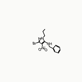 CCCn1nc(Br)c([N+](=O)[O-])c1NCc1ccccc1